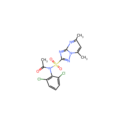 CC(=O)N(c1c(Cl)cccc1Cl)S(=O)(=O)c1nc2nc(C)cc(C)n2n1